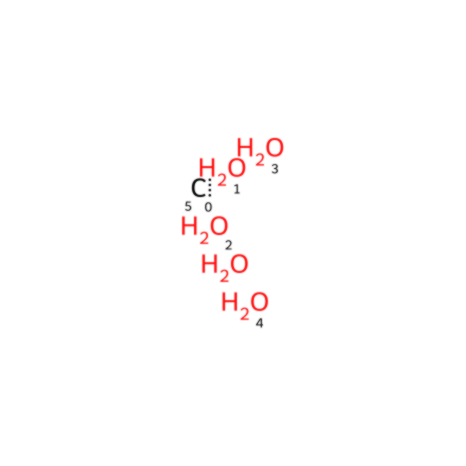 O.O.O.O.O.[C]